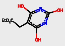 CCOC(=O)Cc1c(O)nc(O)nc1O